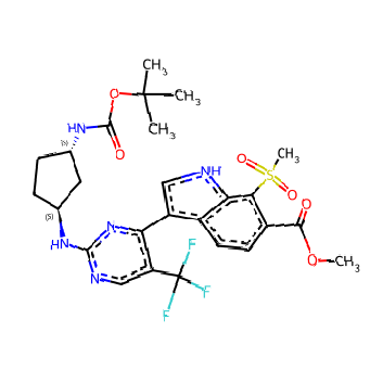 COC(=O)c1ccc2c(-c3nc(N[C@H]4CC[C@H](NC(=O)OC(C)(C)C)C4)ncc3C(F)(F)F)c[nH]c2c1S(C)(=O)=O